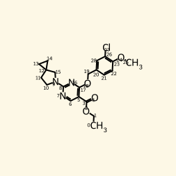 CCOC(=O)c1cnc(N2CCC3(CC3)C2)nc1OCc1ccc(OC)c(Cl)c1